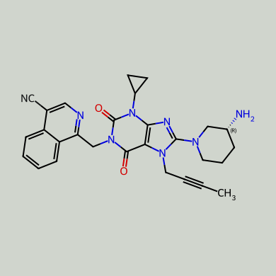 CC#CCn1c(N2CCC[C@@H](N)C2)nc2c1c(=O)n(Cc1ncc(C#N)c3ccccc13)c(=O)n2C1CC1